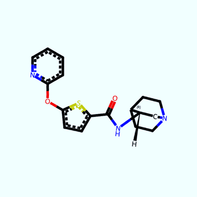 O=C(N[C@H]1CN2CCC1CC2)c1ccc(Oc2ccccn2)s1